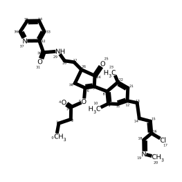 CCCC(=O)OC1=C(c2c(C)cc(CC/C=C(Cl)\C=N/C)cc2C)C(=O)C(CCNC(=O)c2ccccn2)C1